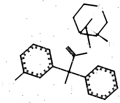 O=C(O[C@H]1CN2CCC1CC2)C(O)(c1ccccc1)c1cccc(O)c1